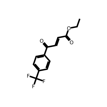 CCOC(=O)C=CC(=O)c1ccc(C(F)(F)F)cc1